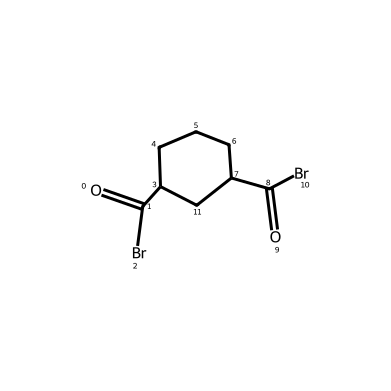 O=C(Br)C1CCCC(C(=O)Br)C1